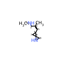 CNC/C(C)=C\C1CC12CN2